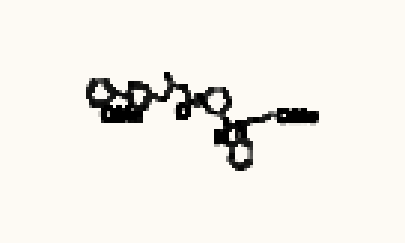 COCCCn1c([C@@H]2CCCN(C(=O)C[C@H](C)Cc3ccc(-c4ccccc4OC)cc3)C2)nc2ccccc21